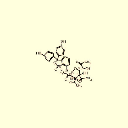 CC(=O)C(O)[C@H]1O[C@@H](Oc2cccc3c2S(=O)(=O)OC3(c2ccc(O)cc2)c2ccc(O)cc2)[C@@](N)(C(C)=O)[C@](O)(C(C)=O)[C@@]1(O)C(C)=O